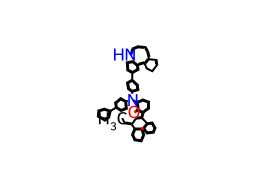 C/C=C(/c1ccccc1)c1oc2c(N(c3ccc(-c4ccccc4)cc3)c3ccc(-c4ccc5[nH]ccccc6c(c5c4)CCC=C6)cc3)cccc2c1-c1ccccc1